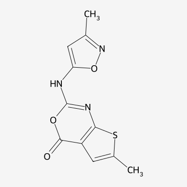 Cc1cc(Nc2nc3sc(C)cc3c(=O)o2)on1